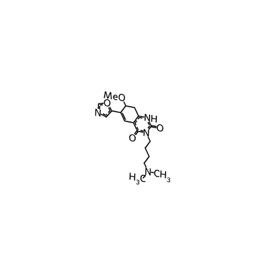 COC1Cc2[nH]c(=O)n(CCCCN(C)C)c(=O)c2C=C1c1cnco1